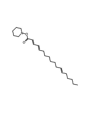 CCCCCC=CCCCCCCC=CC=CC(=O)ON1CCCCC1